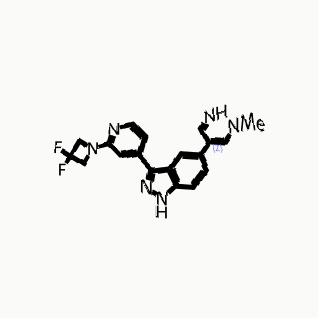 CN/C=C(\C=N)c1ccc2[nH]nc(-c3ccnc(N4CC(F)(F)C4)c3)c2c1